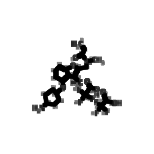 C=CC(=O)N(C)Cc1oc2cccc(OC3CCC(N)CC3)c2c1C.O=C(O)C(F)(F)F.O=C(O)C(F)(F)F